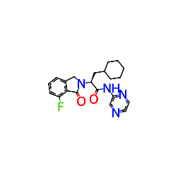 O=C(Nc1cnccn1)[C@H](CC1CCCCC1)N1Cc2cccc(F)c2C1=O